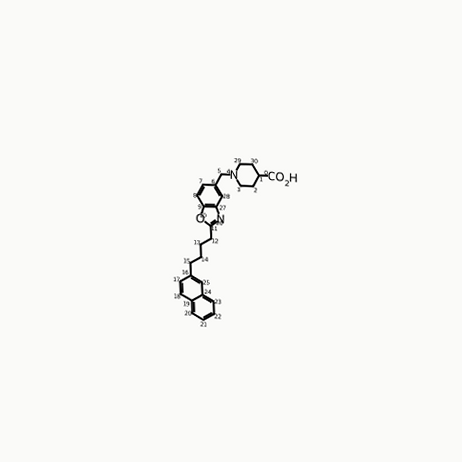 O=C(O)C1CCN(Cc2ccc3oc(CCCCc4ccc5ccccc5c4)nc3c2)CC1